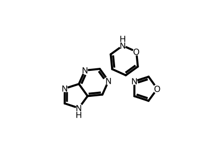 C1=CNOC=C1.c1cocn1.c1ncc2[nH]cnc2n1